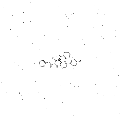 O=c1c(NCc2ccccn2)nc2ccc(-c3ccc(F)cc3)nc2n1Cc1ccccn1